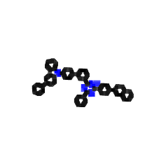 c1ccc(C2=NC(c3ccc(-c4ccc5ccccc5c4)cc3)NC(c3cccc(-c4ccc(-n5c6ccccc6c6cc(-c7ccccc7)ccc65)cc4)c3)=N2)cc1